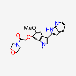 COc1cc2c(-c3cc4cccnc4[nH]3)cn(C)c2cc1OCC(=O)N1CCOCC1